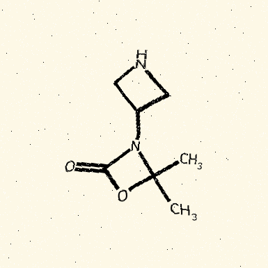 CC1(C)OC(=O)N1C1CNC1